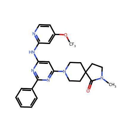 CN1CCC2(CCN(c3cc(Nc4cc(OC(F)(F)F)ccn4)nc(-c4ccccc4)n3)CC2)C1=O